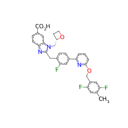 Cc1cc(F)c(COc2cccc(-c3ccc(Cc4nc5ccc(C(=O)O)cc5n4C[C@@H]4CCO4)c(F)c3)n2)cc1F